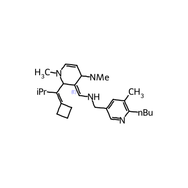 CCCCc1ncc(CN/C=C2\C(NC)C=CN(C)C2C(=C2CCC2)C(C)C)cc1C